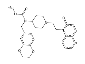 CC(C)(C)OC(=O)N(Cc1ccc2c(c1)OCCO2)C1CCN(CCn2c(=O)ccc3ncccc32)CC1